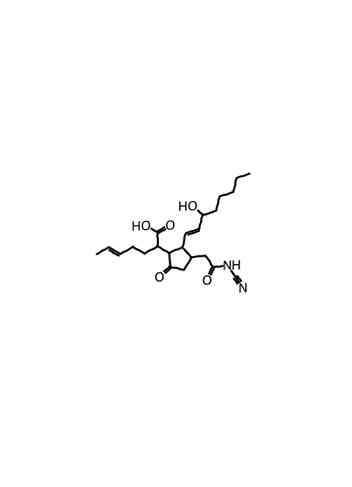 C/C=C/CCC(C(=O)O)C1C(=O)CC(CC(=O)NC#N)C1/C=C/C(O)CCCCC